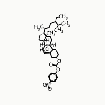 CC[C@H](CC[C@@H](C)[C@H]1CC[C@H]2[C@@H]3CC=C4C[C@@H](OC(=O)Oc5ccc([N+](=O)[O-])cc5)CC[C@]4(C)[C@H]3CC[C@]12C)C(C)C